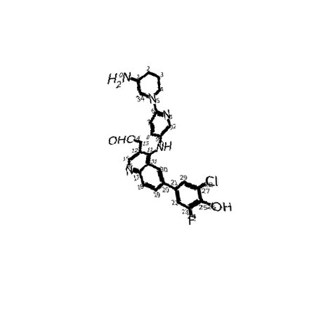 NC1CCCN(c2ccc(Nc3c(CC=O)cnc4ccc(-c5cc(F)c(O)c(Cl)c5)cc34)cn2)C1